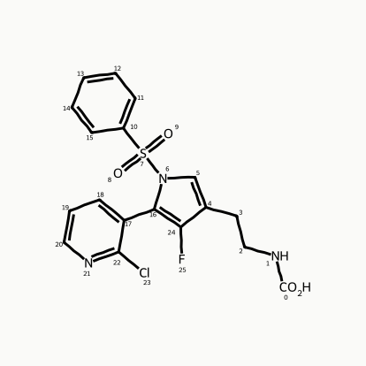 O=C(O)NCCc1cn(S(=O)(=O)c2ccccc2)c(-c2cccnc2Cl)c1F